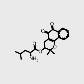 CC(C)CC(N)C(=O)OC1CC2=C(OC1(C)C)c1ccccc1C(=O)C2=O